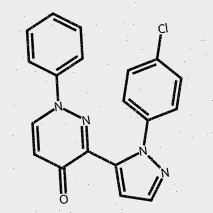 O=c1ccn(-c2ccccc2)nc1-c1ccnn1-c1ccc(Cl)cc1